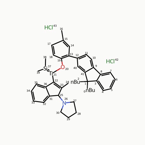 CCCCC1(CCCC)c2ccccc2-c2ccc(-c3cc(C)ccc3[O][Ti]([C]3=C(C)C(N4CCCC4)c4ccccc43)=[Si](C)C)cc21.Cl.Cl